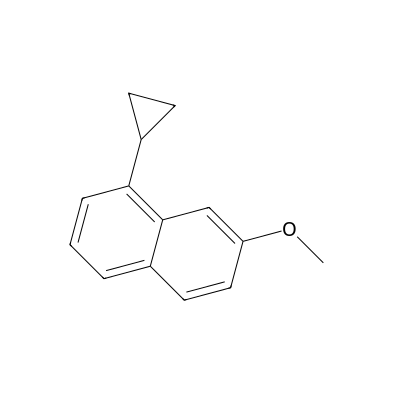 COc1ccc2cccc(C3CC3)c2c1